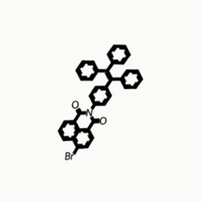 O=C1c2cccc3c(Br)ccc(c23)C(=O)N1c1ccc(C(=C(c2ccccc2)c2ccccc2)c2ccccc2)cc1